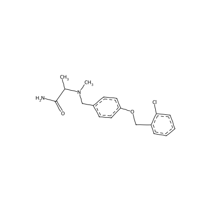 CC(C(N)=O)N(C)Cc1ccc(OCc2ccccc2Cl)cc1